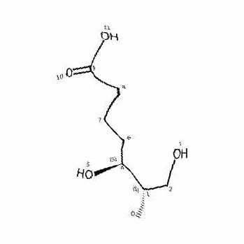 C[C@@H](CO)[C@@H](O)CCCC(=O)O